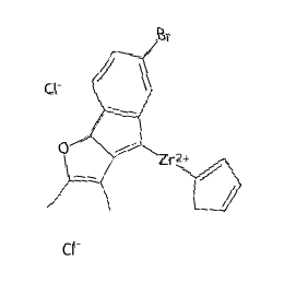 CC1=C(C)C2=[C]([Zr+2][C]3=CC=CC3)c3cc(Br)ccc3C2O1.[Cl-].[Cl-]